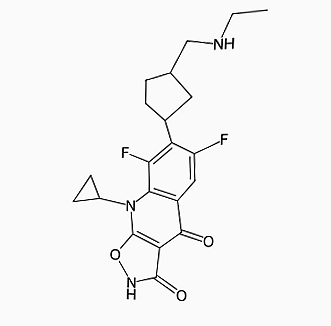 CCNCC1CCC(c2c(F)cc3c(=O)c4c(=O)[nH]oc4n(C4CC4)c3c2F)C1